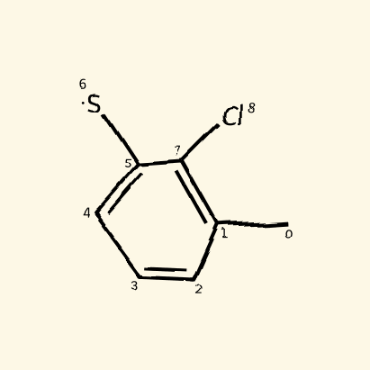 Cc1cccc([S])c1Cl